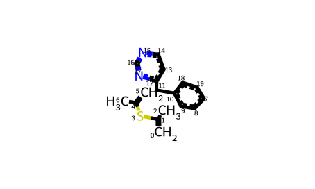 C=C(C)SC(=C)C.c1ccc(Cc2ccncn2)cc1